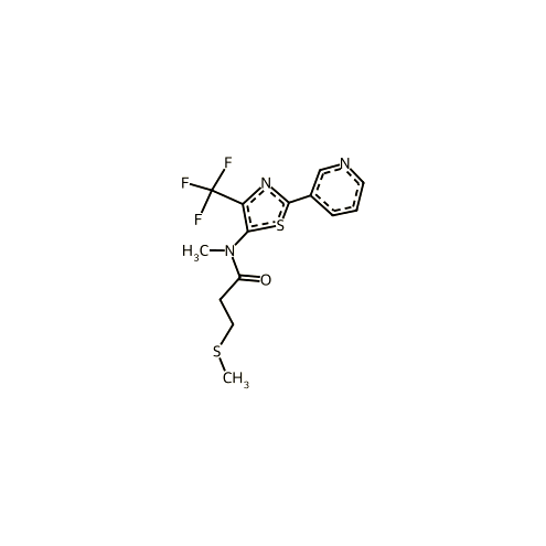 CSCCC(=O)N(C)c1sc(-c2cccnc2)nc1C(F)(F)F